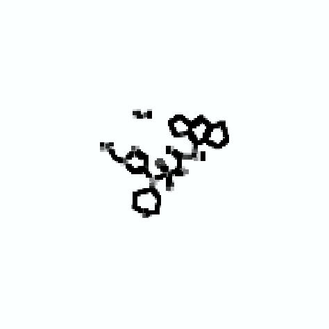 N#CCn1cc(N(C2CCOCC2)S(=O)(=O)NC(=O)Nc2c3c(cc4c2CCC4)CCC3)cn1.[NaH]